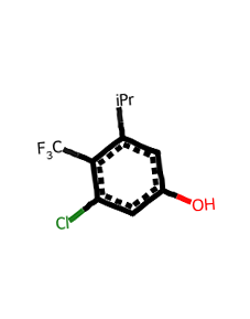 CC(C)c1cc(O)cc(Cl)c1C(F)(F)F